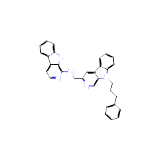 c1ccc(CCCn2c3ccccc3c3cc(CNc4nccc5c4[nH]c4ccccc45)ncc32)cc1